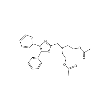 CC(=O)OCCN(CCOC(C)=O)Cc1nc(-c2ccccc2)c(-c2ccccc2)o1